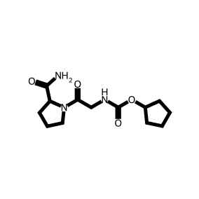 NC(=O)C1CCCN1C(=O)CNC(=O)OC1CCCC1